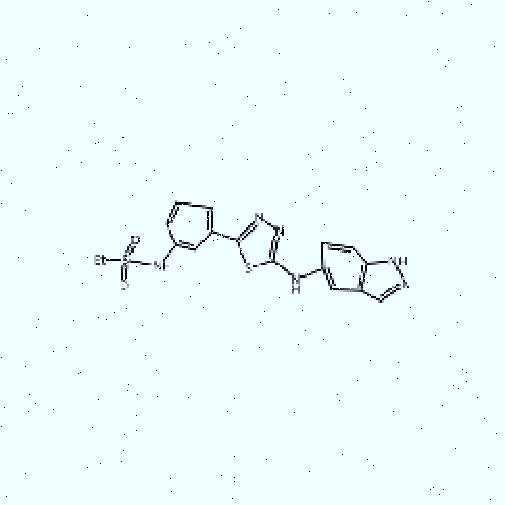 CCS(=O)(=O)Nc1cccc(-c2nnc(Nc3ccc4[nH]ncc4c3)s2)c1